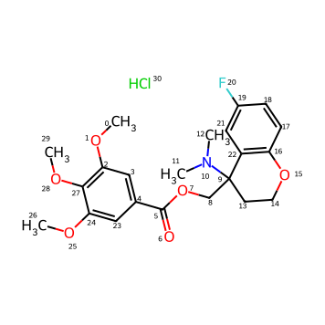 COc1cc(C(=O)OCC2(N(C)C)CCOc3ccc(F)cc32)cc(OC)c1OC.Cl